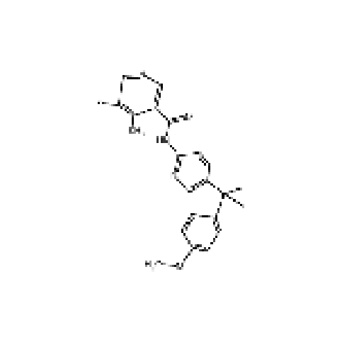 COc1ccc(C2(c3ccc(NC(=O)c4cncc(F)c4C)nc3)CC2)cc1